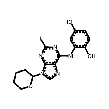 Oc1ccc(O)c(Nc2nc(I)nc3c2ncn3C2CCCCO2)c1